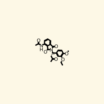 CCOc1cc([C@H](CC(C)=O)N2C(=O)c3cccc(NC(C)=O)c3C2=O)ccc1OC